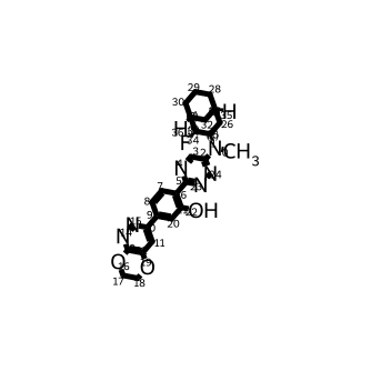 CN(c1cnc(-c2ccc(-c3cc4c(nn3)OCCO4)cc2O)nn1)[C@@H]1C[C@H]2CCC[C@H](C2)[C@@H]1F